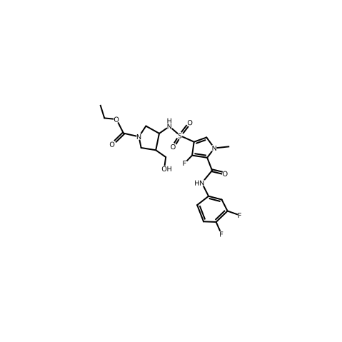 CCOC(=O)N1CC(CO)C(NS(=O)(=O)c2cn(C)c(C(=O)Nc3ccc(F)c(F)c3)c2F)C1